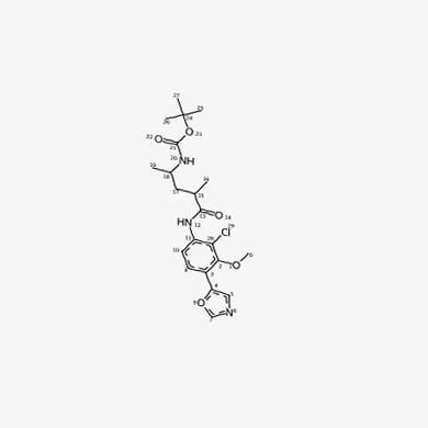 COc1c(-c2cnco2)ccc(NC(=O)C(C)CC(C)NC(=O)OC(C)(C)C)c1Cl